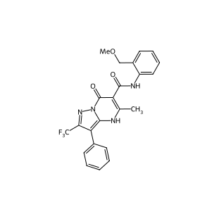 COCc1ccccc1NC(=O)c1c(C)[nH]c2c(-c3ccccc3)c(C(F)(F)F)nn2c1=O